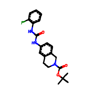 CC(C)(C)OC(=O)N1CCc2cc(NC(=O)Nc3ccccc3F)ccc2C1